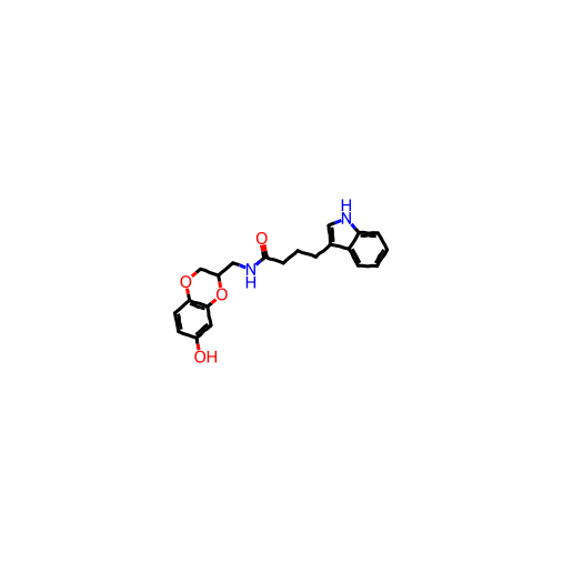 O=C(CCCc1c[nH]c2ccccc12)NCC1COc2ccc(O)cc2O1